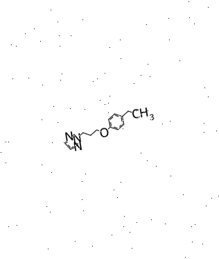 CCc1ccc(OCCCn2nccn2)cc1